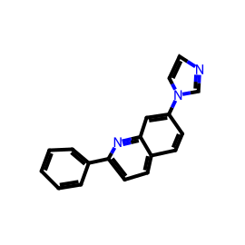 c1ccc(-c2ccc3ccc(-n4ccnc4)cc3n2)cc1